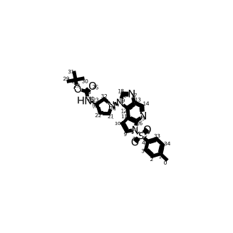 Cc1ccc(S(=O)(=O)n2ccc3c4c(cnc32)ncn4N2CC[C@@H](NC(=O)OC(C)(C)C)C2)cc1